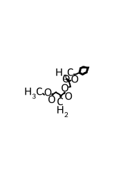 C=C(CC(=O)OCC)C(=O)OCC(=O)OC(C)c1ccccc1